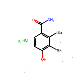 CC(C)(C)c1c(O)ccc(C(N)=O)c1C(C)(C)C.Cl.Cl